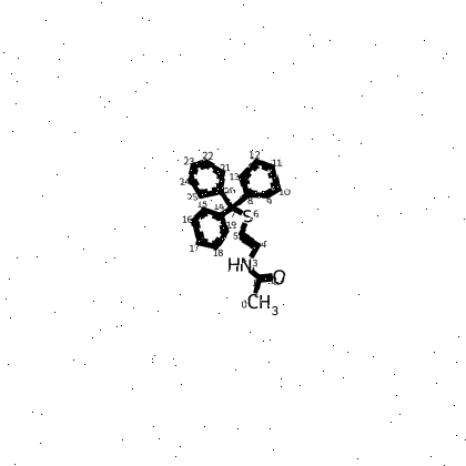 CC(=O)NC=CSC(c1ccccc1)(c1ccccc1)c1ccccc1